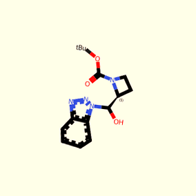 CC(C)(C)OC(=O)N1CC[C@H]1C(O)n1nnc2ccccc21